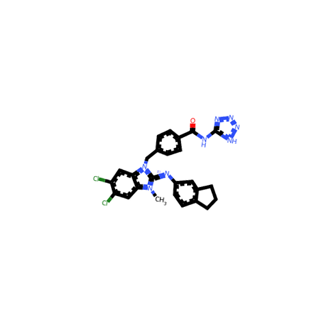 Cn1/c(=N\c2ccc3c(c2)CCC3)n(Cc2ccc(C(=O)Nc3nnn[nH]3)cc2)c2cc(Cl)c(Cl)cc21